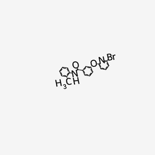 Cc1ccccc1NC(=O)c1cccc(Oc2cccc(Br)n2)c1